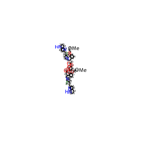 COCCOc1cccc([C@H](CC(=O)OC(=O)/C=C\C(=O)OC(=O)C[C@H](CN2CC[C@@](F)(CCc3ccc4c(n3)NCCC4)C2)c2cccc(OCCOC)c2)CN2CC[C@@](F)(CCc3ccc4c(n3)CCCN4)C2)c1